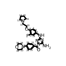 Nc1nc(Nc2ccc(OCCN3CCCC3)c(F)c2)nn1C(=O)c1ccc(N2CCOCC2)cc1